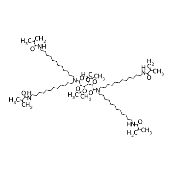 C=C(C)C(=O)NCCCCCCCCCCCCN(CCCCCCCCCCCCNC(=O)C(=C)C)C(=O)[C@H]1OC(C)(C)O[C@@H]1[C@@H]1OC(C)(C)O[C@H]1C(=O)N(CCCCCCCCCCCCNC(=O)C(=C)C)CCCCCCCCCCCCNC(=O)C(=C)C